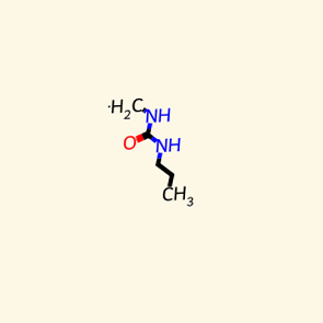 [CH2]NC(=O)NCCC